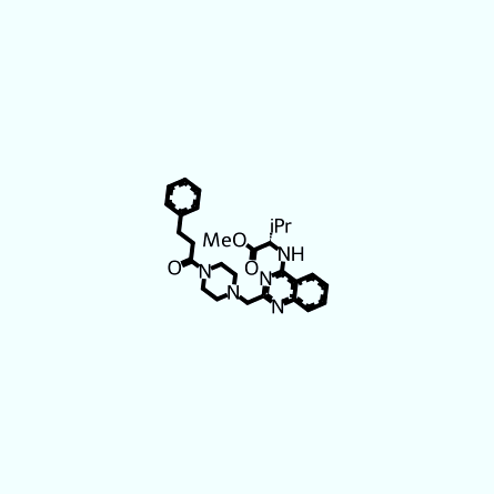 COC(=O)[C@@H](Nc1nc(CN2CCN(C(=O)CCc3ccccc3)CC2)nc2ccccc12)C(C)C